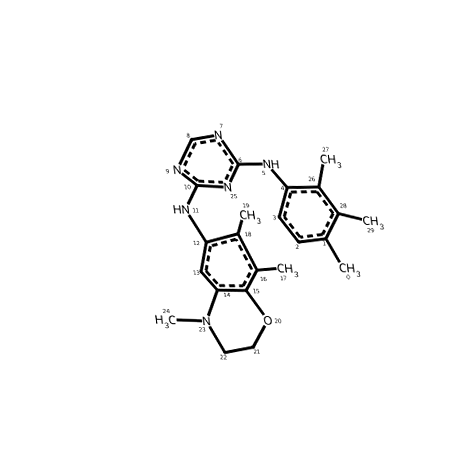 Cc1ccc(Nc2ncnc(Nc3cc4c(c(C)c3C)OCCN4C)n2)c(C)c1C